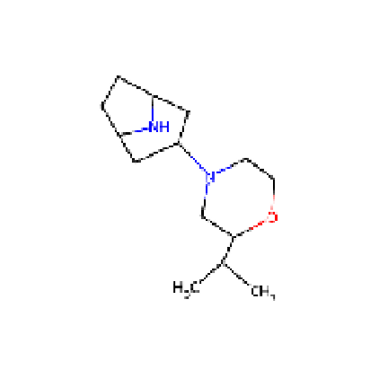 CC(C)C1CN(C2CC3CCC(C2)N3)CCO1